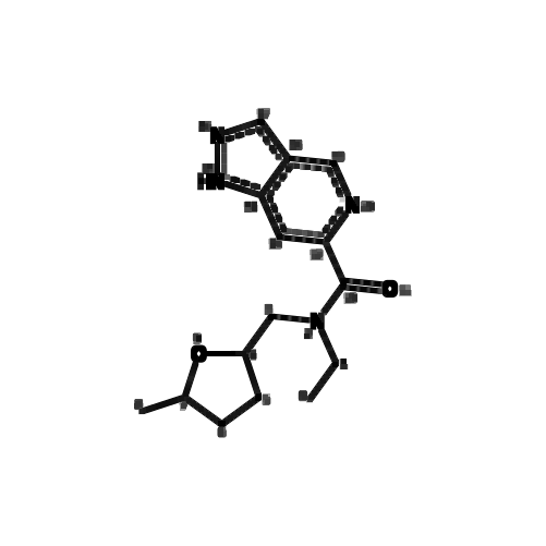 CCN(CC1CCC(C)O1)C(=O)c1cc2[nH]ncc2cn1